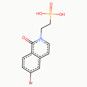 O=c1c2ccc(Br)cc2ccn1CCP(=O)(O)O